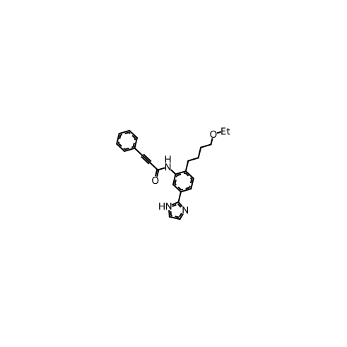 CCOCCCCc1ccc(-c2ncc[nH]2)cc1NC(=O)C#Cc1ccccc1